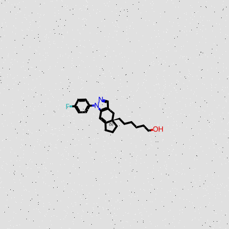 OCCCCCC[C@@]12CCCC1=Cc1c(cnn1-c1ccc(F)cc1)C2